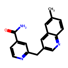 Cc1ccc2ncc(Cc3cc(C(N)=O)ccn3)cc2c1